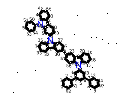 c1ccc(-c2cc(-c3ccccc3)cc(-n3c4ccccc4c4cc(-c5ccc6c(c5)c5ccccc5n6-c5ccc6c7ccccc7n(-c7ccccc7)c6c5)ccc43)c2)cc1